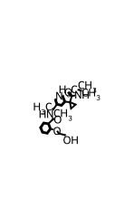 CC(C)(C)NC(=O)C1(c2cncc(C(C)(C)NC(=O)c3ccccc3OCCO)c2)CC1